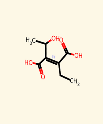 CC/C(C(=O)O)=C(\C(=O)O)C(C)O